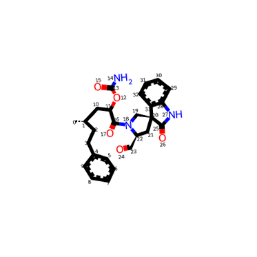 C[C@@H](CCc1ccccc1)CC(OC(N)=O)C(=O)N1C[C@]2(C[C@H]1C=O)C(=O)Nc1ccccc12